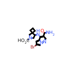 NC(=O)c1cnn2cc(Br)cc2c1NC1CN(C(=O)O)CC12CCC2